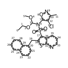 CCOC(OC)N(c1onc(C)c1Cl)S(=O)(=O)c1c(Cc2cccc3ccccc23)sc2ncccc12